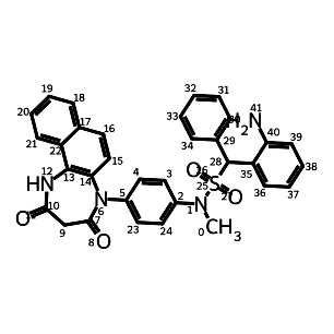 CN(c1ccc(N2C(=O)CC(=O)Nc3c2ccc2ccccc32)cc1)S(=O)(=O)C(c1ccccc1)c1ccccc1N